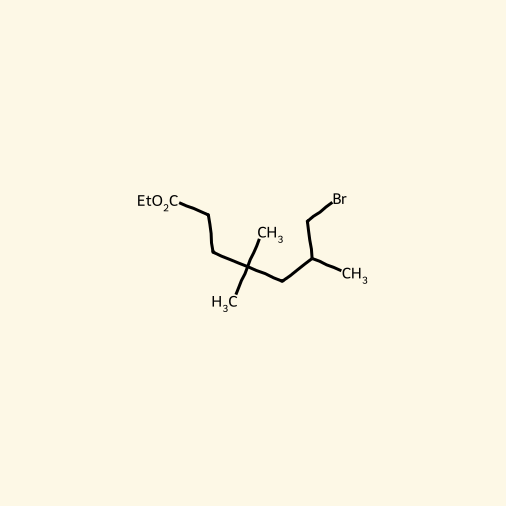 CCOC(=O)CCC(C)(C)CC(C)CBr